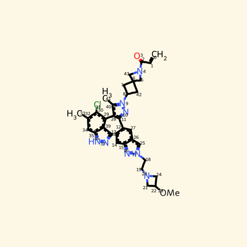 C=CC(=O)N1CC2(CC(n3nc(-c4ccc5nn(CCN6CC(OC)C6)cc5c4)c(-c4c(Cl)c(C)cc5[nH]ncc45)c3C)C2)C1